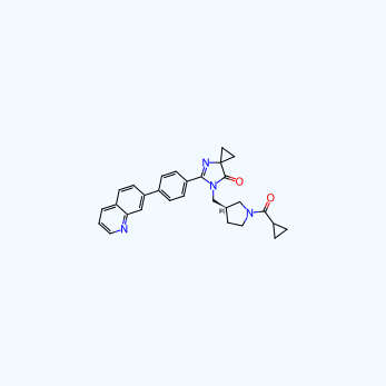 O=C(C1CC1)N1CC[C@@H](CN2C(=O)C3(CC3)N=C2c2ccc(-c3ccc4cccnc4c3)cc2)C1